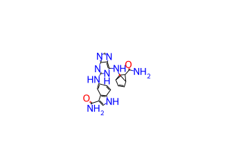 NC(=O)c1c[nH]c2ccc(Nc3nc4ncnc-4c(NC4C5C=CC(C5)C4C(N)=O)[nH]3)cc12